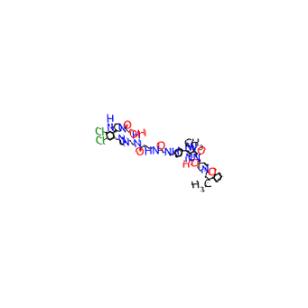 C[C@H](CC(=O)N1CCC(O)(Cn2cnc3c(-c4ccc(CNCC(=O)NCCCC(=O)NCCn5ccc(-c6cc(Cl)c(Cl)c7[nH]c8c(c67)CN(C(=O)CO)CC8)n5)cc4)n(C)nc3c2=O)CC1)c1ccccc1